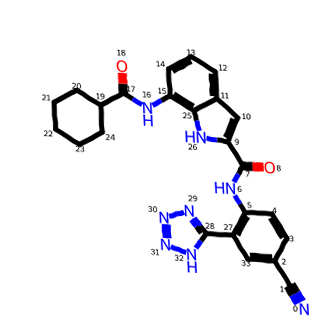 N#Cc1ccc(NC(=O)c2cc3cccc(NC(=O)C4CCCCC4)c3[nH]2)c(-c2nnn[nH]2)c1